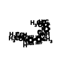 C/C=C1/CC=C(NC(=O)c2cc(-c3ccc(NC(=O)OC(C)(C)C)cc3)ccc2C)N=C1C(=O)OC